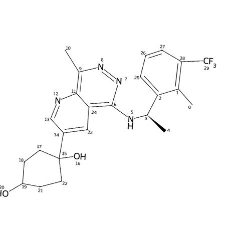 Cc1c([C@@H](C)Nc2nnc(C)c3ncc(C4(O)CCC(O)CC4)cc23)cccc1C(F)(F)F